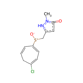 Cn1[nH]c(C[S+]([O-])C2=CC=C(Cl)CC=C2)cc1=O